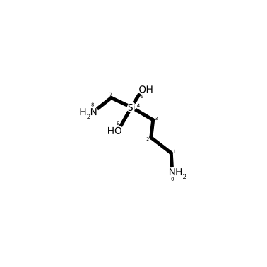 NCCC[Si](O)(O)CN